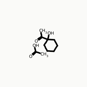 CC(=O)C1(O)CCCCC1.CC(=O)O